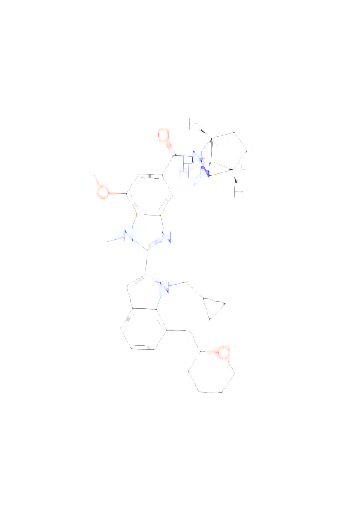 COc1cc(C(=O)N2C[C@H]3CC[C@@H]2[C@@H]3N)cc2nc(-c3cc4cccc(CC5CCCCO5)c4n3CC3CC3)n(C)c12